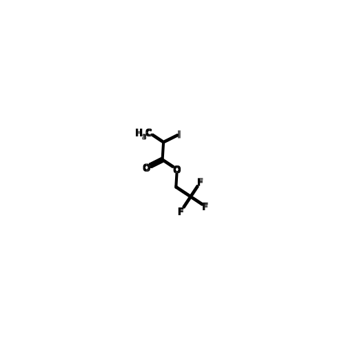 CC(I)C(=O)OCC(F)(F)F